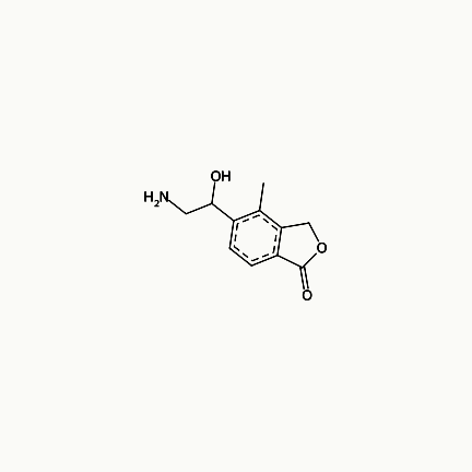 Cc1c(C(O)CN)ccc2c1COC2=O